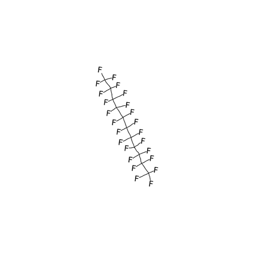 FC(F)(F)C(F)(F)C(F)(F)C(F)(F)C(F)(F)C(F)(F)C(F)(F)C(F)(F)C(F)(F)C(F)(F)C(F)(F)F